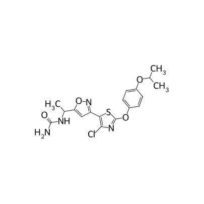 CC(C)Oc1ccc(Oc2nc(Cl)c(-c3cc(C(C)NC(N)=O)on3)s2)cc1